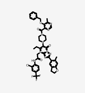 CCc1c(N2CCN(C(=O)c3ncnc(C)c3OCc3ccccc3)CC2)c(=O)n2nc(-c3cc4c(cc3C)OCC4)nc2n1CC(=O)Nc1ccc(C(F)(F)F)cc1Cl